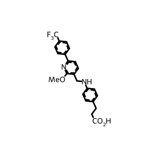 COc1nc(-c2ccc(C(F)(F)F)cc2)ccc1CNc1ccc(CCC(=O)O)cc1